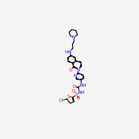 O=C(Nc1ccc(-n2ccc3cc(NCCCN4CCCCC4)ccc3c2=O)nc1)NS(=O)(=O)C1=CCC(Cl)S1